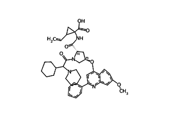 C=CC1CC1(NC(=O)[C@@H]1C[C@@H](Oc2cc(-c3ccccc3)nc3cc(OC)ccc23)CN1C(=O)C(C1CCCCC1)N1CCCCC1)C(=O)O